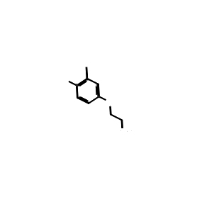 CNCCOc1ccc(F)c(C)c1